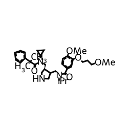 COCCCOc1cc(C(=O)N(CC2CNC[C@H]2CN(C(=O)C(C)(C)c2ccccc2)C2CC2)C(C)C)ccc1OC